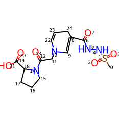 CS(=O)(=O)NNC(=O)C1=CN(CC(=O)N2CCCC2C(=O)O)C=CC1